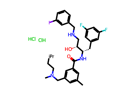 Cc1cc(CN(C)CCC(C)C)cc(C(=O)N[C@@H](Cc2cc(F)cc(F)c2)[C@H](O)CNCc2cccc(I)c2)c1.Cl.Cl